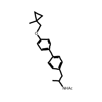 CC(=O)NC(C)Cc1ccc(-c2ccc(OCC3(C)CC3)cc2)cc1